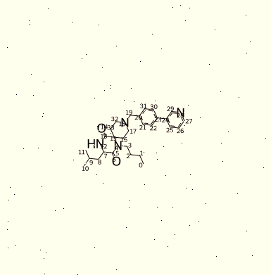 CCCCN1C(=O)C(CC(C)C)NC(=O)C12CCN(Cc1ccc(-c3cccnc3)cc1)CC2